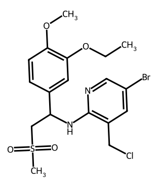 CCOc1cc(C(CS(C)(=O)=O)Nc2ncc(Br)cc2CCl)ccc1OC